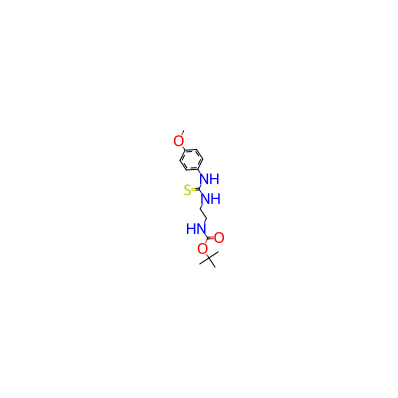 COc1ccc(NC(=S)NCCNC(=O)OC(C)(C)C)cc1